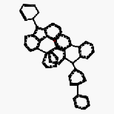 C1=CCC(n2c3cccc(-c4ccccc4)c3c3c(-c4cccc(N(c5ccc(-c6ccccc6)cc5)c5ccccc5-c5ccccc5)c4)cccc32)C=C1